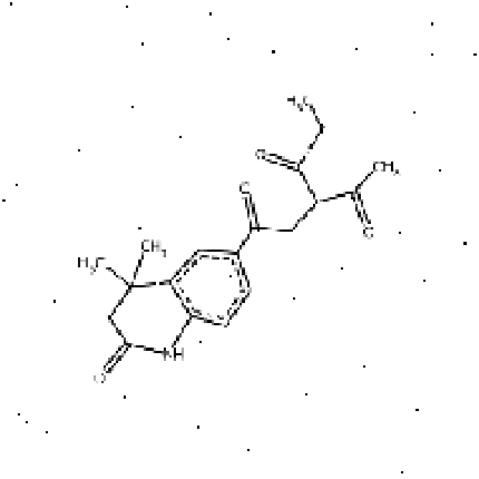 CCC(=O)C(CC(=O)c1ccc2c(c1)C(C)(C)CC(=O)N2)C(C)=O